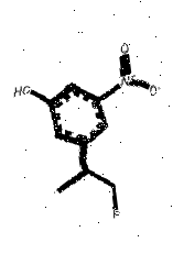 [CH2]C(CF)c1cc(O)cc([N+](=O)[O-])c1